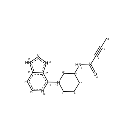 CC#CC(=O)NC1CCCN(c2nccc3[nH]cnc23)C1